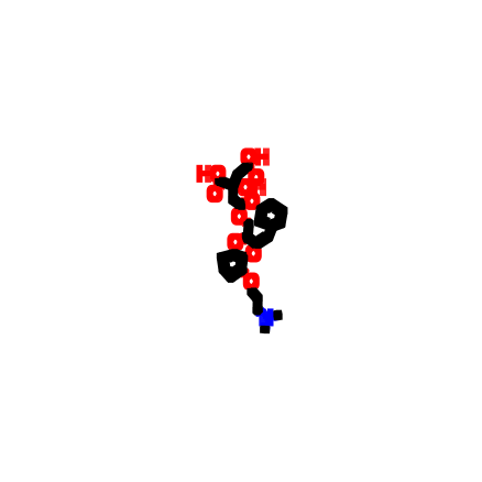 CN(C)CCCOc1ccccc1OC(=Cc1ccccc1)C(=O)COC(=O)CC(O)(CC(=O)O)C(=O)O